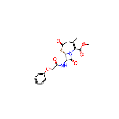 COC(=O)C(=C(C)C)N1C(=O)[C@@H](NC(=O)COc2ccccc2)[C@H]1SC(C)=O